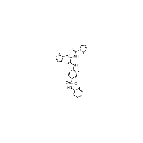 Cc1cc(S(=O)(=O)Nc2ncccn2)ccc1NC(=O)/C(=C\c1cccs1)NC(=O)c1cccs1